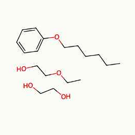 CCCCCCOc1ccccc1.CCOCCO.OCCO